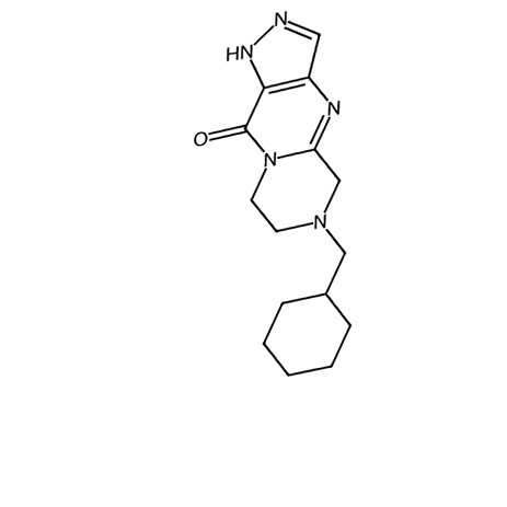 O=c1c2[nH]ncc2nc2n1CCN(CC1CCCCC1)C2